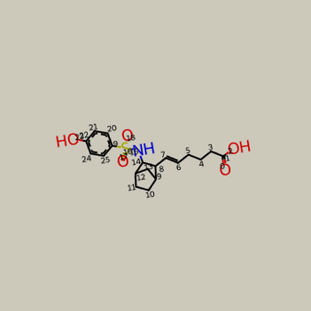 O=C(O)CCCC=CC1C2CCC(C2)C1NS(=O)(=O)c1ccc(O)cc1